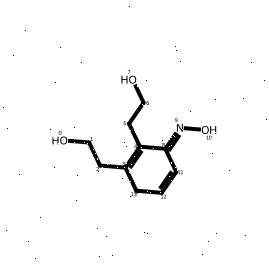 OCCC1=C(CCO)C(=NO)C=C[C]1